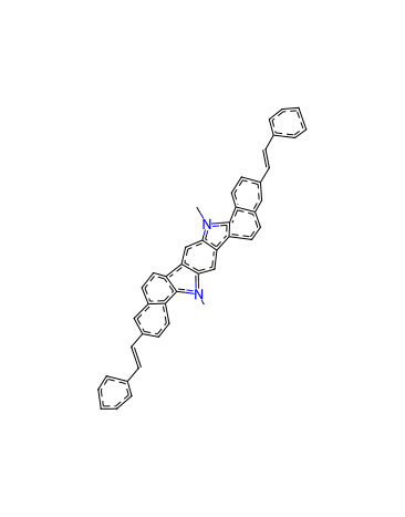 Cn1c2cc3c4ccc5cc(/C=C/c6ccccc6)ccc5c4n(C)c3cc2c2ccc3cc(/C=C/c4ccccc4)ccc3c21